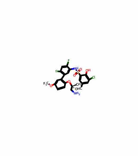 C[C@@H](CN)Oc1ccc(OC(F)(F)F)cc1-c1cc(NS(=O)(=O)c2cc(C=O)cc(Cl)c2O)c(F)cc1F